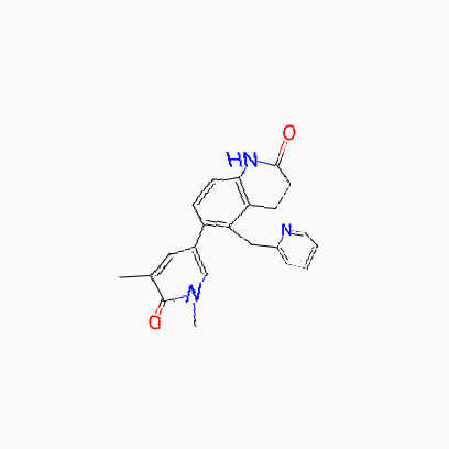 Cc1cc(-c2ccc3c(c2Cc2ccccn2)CCC(=O)N3)cn(C)c1=O